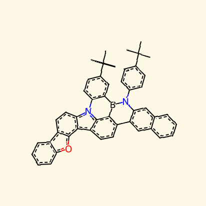 CC(C)(C)c1ccc(N2B3c4cc(C(C)(C)C)ccc4-n4c5ccc6c7ccccc7oc6c5c5ccc(c3c54)-c3cc4ccccc4cc32)cc1